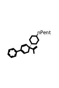 C=C(C)C1([C@H]2CC[C@H](CCCCC)CC2)C=CC(c2ccccc2)=CC1